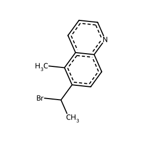 Cc1c(C(C)Br)ccc2ncccc12